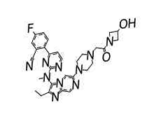 CCc1nc2cnc(N3CCN(CC(=O)N4CC(O)C4)CC3)cn2c1N(C)c1nccc(-c2ccc(F)cc2C#N)n1